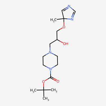 CC(C)(C)OC(=O)N1CCN(CC(O)COC2(C)C=NC=N2)CC1